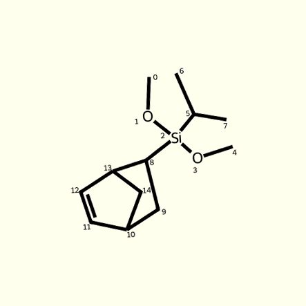 CO[Si](OC)(C(C)C)C1CC2C=CC1C2